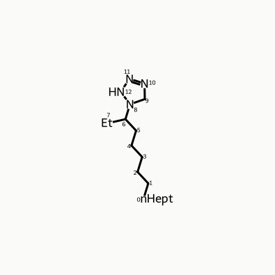 CCCCCCCCCCCCC(CC)N1CN=NN1